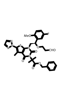 COc1ccc(F)cc1[C@H](Cn1c(=O)n(C(C)(C)C(=O)OCc2ccccc2)c(=O)c2c(C)c(-n3nccn3)sc21)OCCC=O